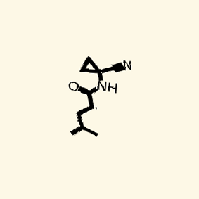 CC(C)C[CH]C(=O)NC1(C#N)CC1